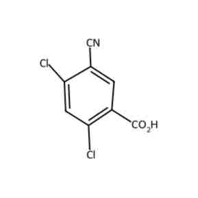 N#Cc1cc(C(=O)O)c(Cl)cc1Cl